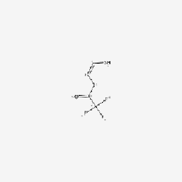 O=C(C/C=C\S)C(F)(F)F